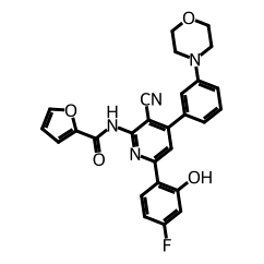 N#Cc1c(-c2cccc(N3CCOCC3)c2)cc(-c2ccc(F)cc2O)nc1NC(=O)c1ccco1